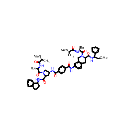 CN[C@@H](C)C(=O)NC(C(=O)N1Cc2cc(NC(=O)c3ccc(C(=O)N[C@H]4CC(C(=O)NC5CCCc6ccccc65)N(C(=O)C(NC(=O)[C@H](C)NC)C(C)(C)C)C4)cc3)ccc2CC1C(=O)NC(COC)c1ccccc1)C(C)(C)C